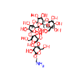 NCCO[C@H]1OC(CO)[C@H](O[C@H]2OC(CO)[C@@H](O[C@@H]3OC(CO)[C@@H](O[C@@H]4OC(C(=O)O)[C@@H](O[C@H]5OC(CO)[C@@H](O)C(O)[C@H]5O)C(O)C4O)C(O)C3O)C(O)C2O)C(O)C1O